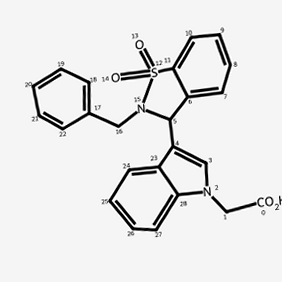 O=C(O)Cn1cc(C2c3ccccc3S(=O)(=O)N2Cc2ccccc2)c2ccccc21